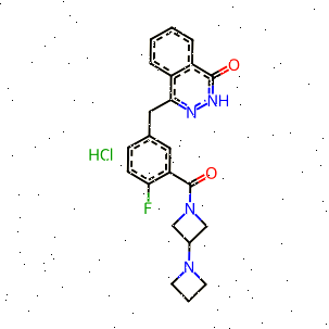 Cl.O=C(c1cc(Cc2n[nH]c(=O)c3ccccc23)ccc1F)N1CC(N2CCC2)C1